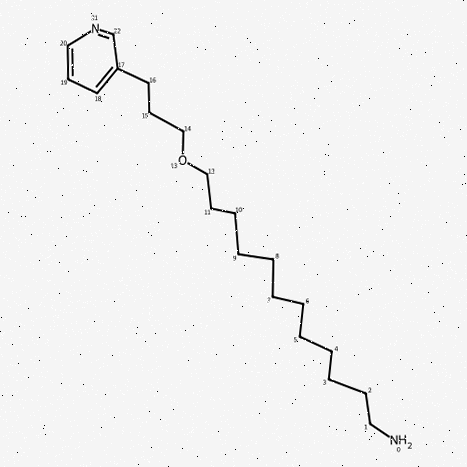 NCCCCCCCCCCCCOCCCc1cccnc1